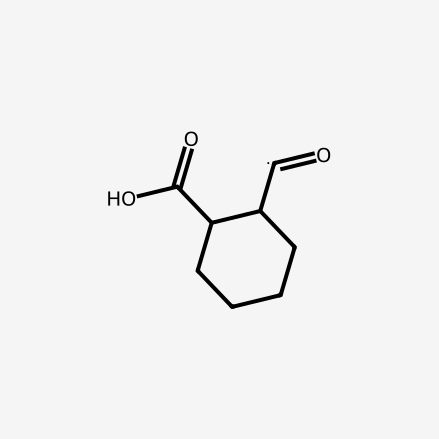 O=[C]C1CCCCC1C(=O)O